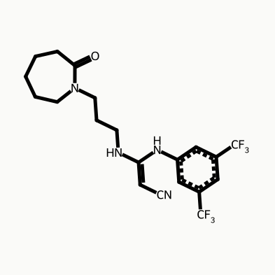 N#CC=C(NCCCN1CCCCCC1=O)Nc1cc(C(F)(F)F)cc(C(F)(F)F)c1